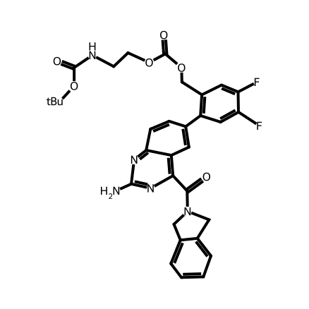 CC(C)(C)OC(=O)NCCOC(=O)OCc1cc(F)c(F)cc1-c1ccc2nc(N)nc(C(=O)N3Cc4ccccc4C3)c2c1